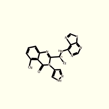 CC[C@H](Nc1ncnc2scnc12)c1nc2cccc(C#N)c2c(=O)n1-c1cn[nH]c1